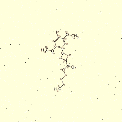 CCCCOC(=O)N1CC(c2cc(OC)c(I)cc2OC)C1